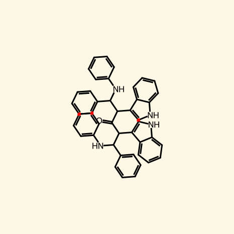 O=C(C(c1c[nH]c2ccccc12)C(Nc1ccccc1)c1ccccc1)C(c1c[nH]c2ccccc12)C(Nc1ccccc1)c1ccccc1